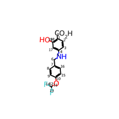 O=C(O)c1ccc(NCc2ccc(OC(F)F)cc2)cc1O